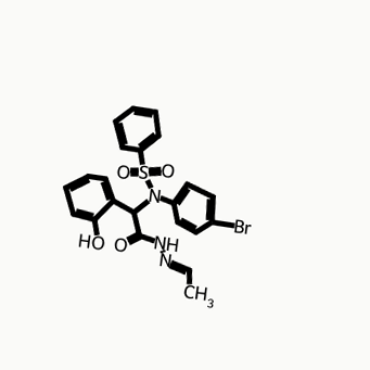 CC=NNC(=O)C(c1ccccc1O)N(c1ccc(Br)cc1)S(=O)(=O)c1ccccc1